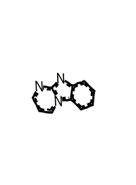 c1ccc2c(c1)nc1ncccn12